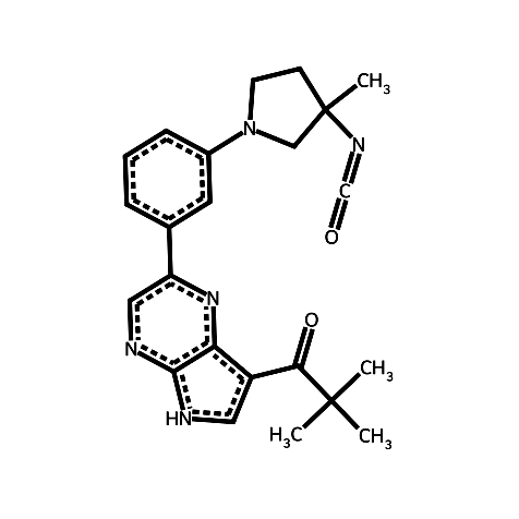 CC1(N=C=O)CCN(c2cccc(-c3cnc4[nH]cc(C(=O)C(C)(C)C)c4n3)c2)C1